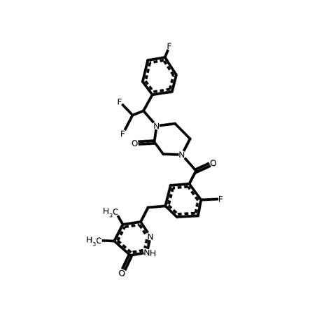 Cc1c(Cc2ccc(F)c(C(=O)N3CCN(C(c4ccc(F)cc4)C(F)F)C(=O)C3)c2)n[nH]c(=O)c1C